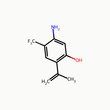 C=C(C)c1cc(C(F)(F)F)c(N)cc1O